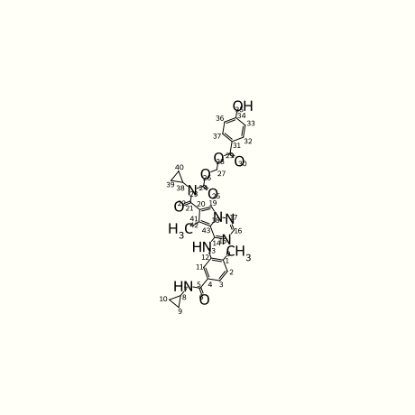 Cc1ccc(C(=O)NC2CC2)cc1Nc1ncnn2cc(C(=O)N(C(=O)OCOC(=O)c3ccc(O)cc3)C3CC3)c(C)c12